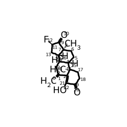 C=C1C[C@@H]2[C@H](CC[C@]3(C)C(=O)[C@H](F)C[C@@H]23)[C@@]2(C)CCC(=O)C(O)=C12